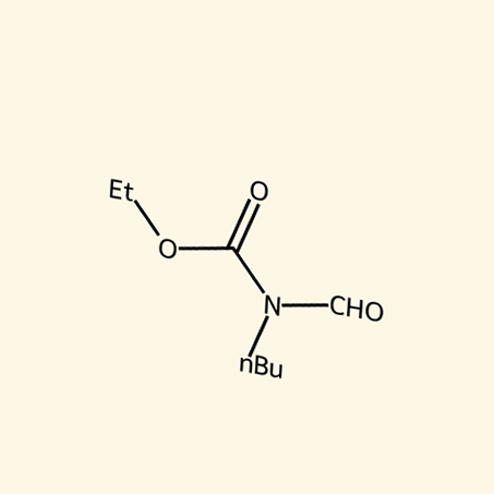 CCCCN(C=O)C(=O)OCC